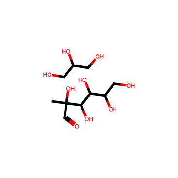 CC(O)(C=O)C(O)C(O)C(O)CO.OCC(O)CO